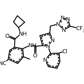 Cc1cc(C#N)cc(C(=O)NC2CCC2)c1NC(=O)c1cc(Cn2nnc(C(F)(F)F)n2)nn1-c1ncccc1Cl